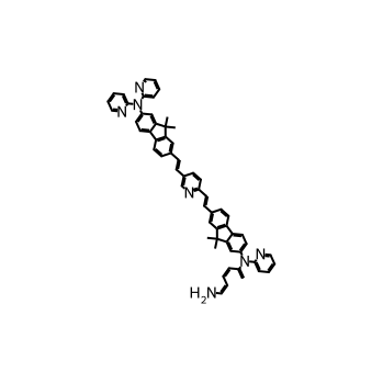 C=C(/C=C\C=C/N)N(c1ccc2c(c1)C(C)(C)c1cc(/C=C/c3ccc(/C=C/c4ccc5c(c4)C(C)(C)c4cc(N(c6ccccn6)c6ccccn6)ccc4-5)cn3)ccc1-2)c1ccccn1